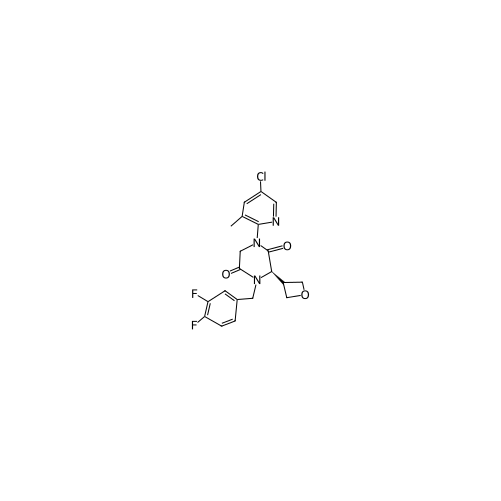 Cc1cc(Cl)cnc1N1CC(=O)N(Cc2ccc(F)c(F)c2)[C@H](C2COC2)C1=O